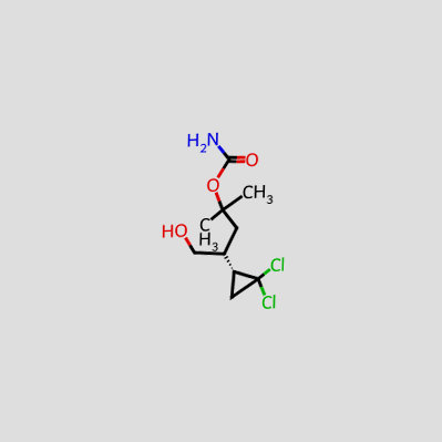 CC(C)(CC(CO)[C@H]1CC1(Cl)Cl)OC(N)=O